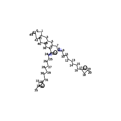 CCCCCCCC/C(=C/CCCCCCCC1CC(C)O1)O/C(=C\CCCCCCCC1CC(C)O1)CCCCCCCC